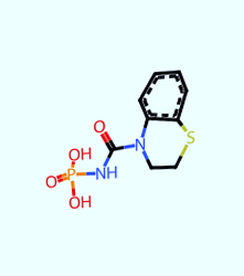 O=C(NP(=O)(O)O)N1CCSc2ccccc21